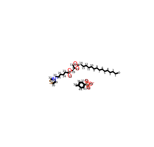 CCCCCCCCCCCCCCC[C@H]1OC[C@H](COC(=O)CCCCC[n+]2ccsc2)O1.Cc1ccc(S(=O)(=O)[O-])cc1